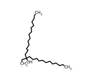 [CH2]CC(O)(CCCCCCCCCCCC)CCCCCCCCCCCCCC